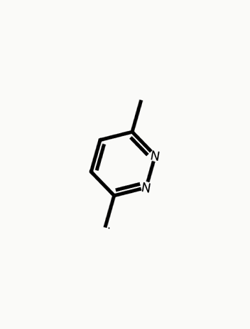 [CH2]c1ccc(C)nn1